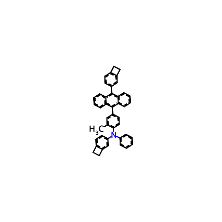 Cc1cc(-c2c3ccccc3c(-c3ccc4c(c3)CC4)c3ccccc23)ccc1N(c1ccccc1)c1ccc2c(c1)CC2